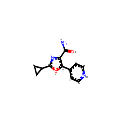 NC(=O)c1nc(C2CC2)oc1-c1ccncc1